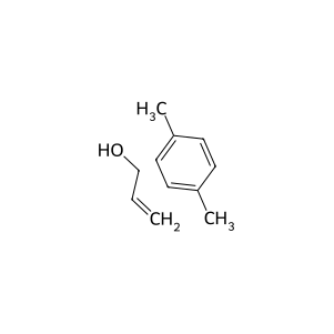 C=CCO.Cc1ccc(C)cc1